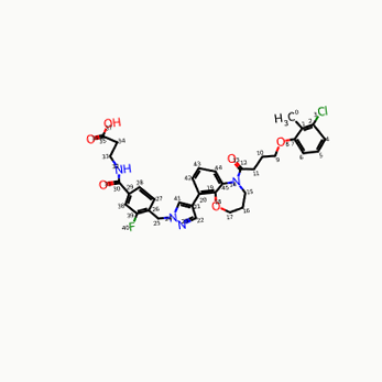 Cc1c(Cl)cccc1OCCCC(=O)N1CCCOc2c(-c3cnn(Cc4ccc(C(=O)NCCC(=O)O)cc4F)c3)cccc21